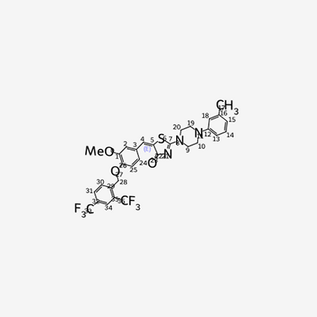 COc1cc(/C=C2/SC(N3CCN(c4cccc(C)c4)CC3)=NC2=O)ccc1OCc1ccc(C(F)(F)F)cc1C(F)(F)F